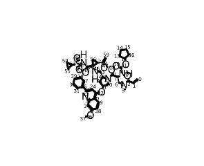 C=CC(=O)N(C)C[C@H](NC(=O)OC1CCCC1)C(=O)N1CC(Oc2cc(-c3ccccc3)nc3cc(OC)ccc23)C[C@H]1C(=O)N[C@]1(C(=O)NS(=O)(=O)C2CC2)C[C@H]1C=C